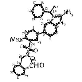 COc1ncc(-c2ccc3nc(N)n(C(C)c4ccccc4)c3c2)cc1S(=O)(=O)N(Cc1ccccc1)OC=O